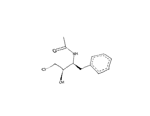 CC(=O)N[C@@H](Cc1ccccc1)[C@@H](O)CCl